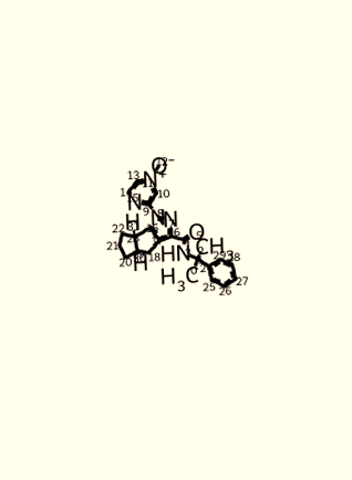 CC(C)(NC(=O)c1nn(-c2c[n+]([O-])ccn2)c2c1C[C@@H]1CCC[C@H]21)c1ccccc1